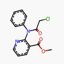 COC(=O)c1cccnc1N(C(=O)CCl)c1ccccc1